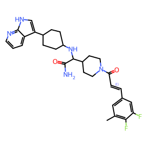 Cc1cc(/C=C/C(=O)N2CCC(C(NC3CCC(c4c[nH]c5ncccc45)CC3)C(N)=O)CC2)cc(F)c1F